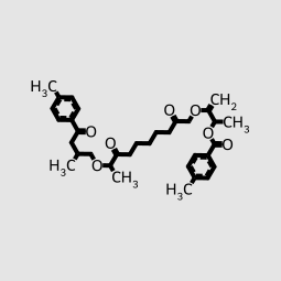 C=C(OCC(=O)CCCCCC(=O)C(C)OCC(C)CC(=O)c1ccc(C)cc1)C(C)OC(=O)c1ccc(C)cc1